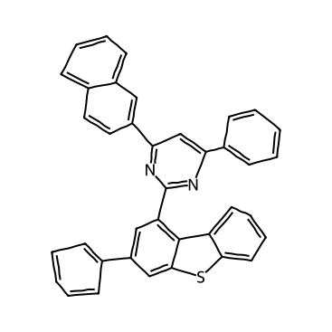 c1ccc(-c2cc(-c3nc(-c4ccccc4)cc(-c4ccc5ccccc5c4)n3)c3c(c2)sc2ccccc23)cc1